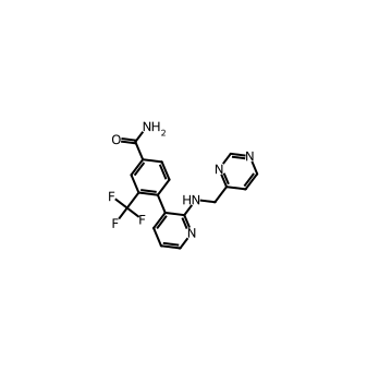 NC(=O)c1ccc(-c2cccnc2NCc2ccncn2)c(C(F)(F)F)c1